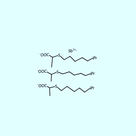 CC(C)CCCCCSC(C)C(=O)[O-].CC(C)CCCCCSC(C)C(=O)[O-].CC(C)CCCCCSC(C)C(=O)[O-].[Sb+3]